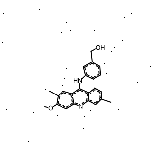 COc1cc2nc3cc(C)ccc3c(Nc3cccc(CO)c3)c2cc1C